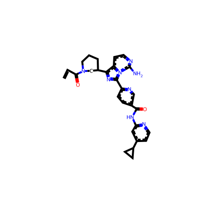 C=CC(=O)N1CCCC(c2nc(-c3ccc(C(=O)Nc4cc(C5CC5)ccn4)cn3)n3c(N)nccc23)C1